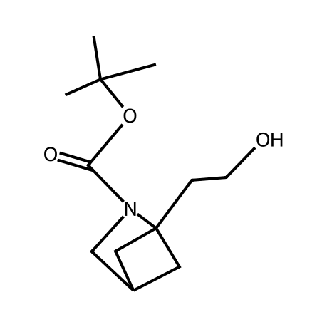 CC(C)(C)OC(=O)N1CC2CC1(CCO)C2